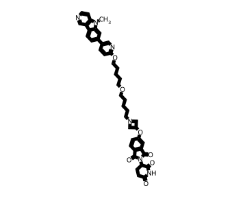 Cn1c2ccncc2c2ccc(-c3ccc(OCCCCCOCCCCCN4CC(Oc5ccc6c(c5)C(=O)N(C5CCC(=O)NC5=O)C6=O)C4)nc3)cc21